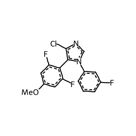 COc1cc(F)c(-c2c(Cl)ncn2-c2cccc(F)c2)c(F)c1